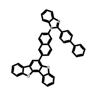 c1ccc(-c2ccc(-c3nc4ccccc4n3-c3ccc4cc(-c5cc6c7ccccc7oc6c6c5oc5ccccc56)ccc4c3)cc2)cc1